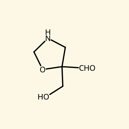 O=CC1(CO)CNCO1